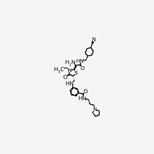 CCN1C(=O)[C@@H](CNc2cccc(C(=O)NCCCN3CCCC3)c2)S/C1=C(/N)C(=O)NCC1CCC(C#N)CC1